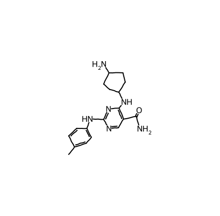 Cc1ccc(Nc2ncc(C(N)=O)c(NC3CCC(N)CC3)n2)cc1